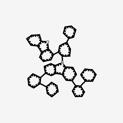 c1ccc(-c2ccc(-n3c4ccc(-c5ccccc5-c5ccccc5)cc4c4cc(-c5ccccc5-c5ccccc5)ccc43)c(-c3cccc4c3oc3ccccc34)c2)cc1